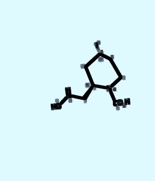 C[C@@H]1CCN(C(=O)O)[C@@H](CNO)C1